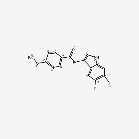 O=C(Nc1c[nH]c2cc(F)c(F)cc12)c1ccc(OC(F)(F)F)nc1